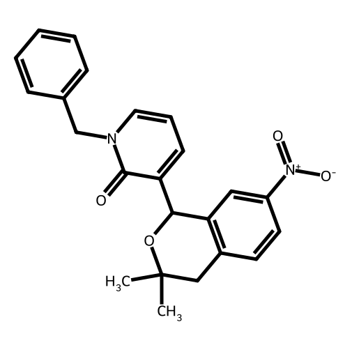 CC1(C)Cc2ccc([N+](=O)[O-])cc2C(c2cccn(Cc3ccccc3)c2=O)O1